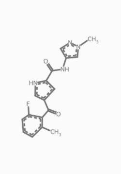 Cc1cccc(F)c1C(=O)c1c[nH]c(C(=O)Nc2cnn(C)c2)c1